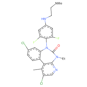 CCN1C(=O)N(c2c(F)cc(NCCNC)cc2F)c2cc(Cl)ccc2-c2c1ncc(Cl)c2C